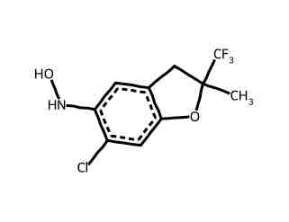 CC1(C(F)(F)F)Cc2cc(NO)c(Cl)cc2O1